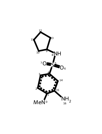 CNc1ccc(S(=O)(=O)NC2CCCC2)cc1N